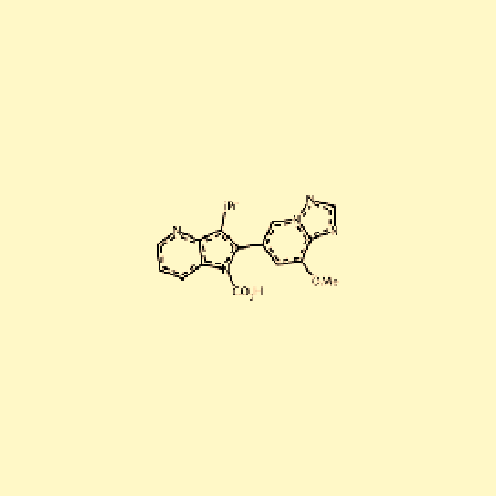 COc1cc(-c2c(C(C)C)c3ncccc3n2C(=O)O)cn2ncnc12